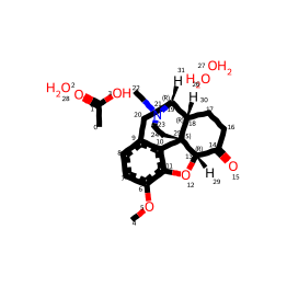 CC(=O)O.COc1ccc2c3c1O[C@H]1C(=O)CC[C@H]4[C@@H](C2)N(C)CC[C@]314.O.O.O